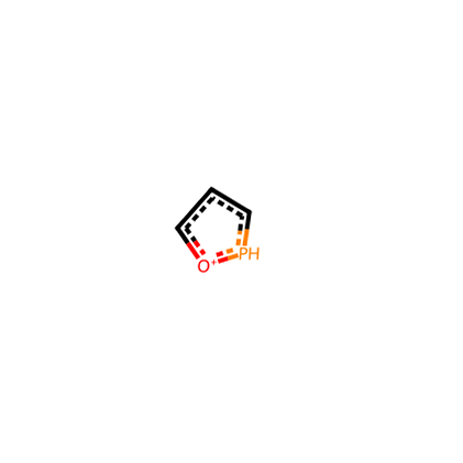 c1c[o+][pH]c1